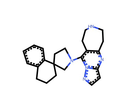 c1ccc2c(c1)CCCC21CCN(c2c3c(nc4ccnn24)CCNCC3)C1